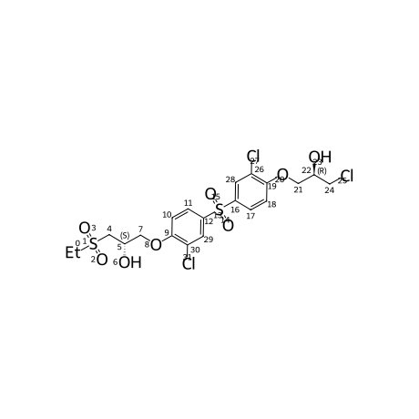 CCS(=O)(=O)C[C@@H](O)COc1ccc(S(=O)(=O)c2ccc(OC[C@@H](O)CCl)c(Cl)c2)cc1Cl